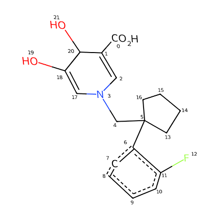 O=C(O)C1=CN(CC2(c3ccccc3F)CCCC2)C=C(O)C1O